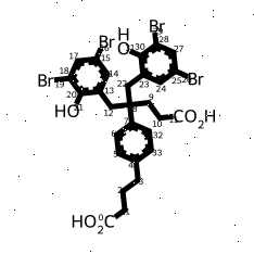 O=C(O)CCCc1ccc(C(CCC(=O)O)(Cc2cc(Br)cc(Br)c2O)Cc2cc(Br)cc(Br)c2O)cc1